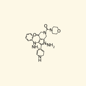 NN(c1ccccc1)c1c2c(n(N)c1C1=CCNC=C1)CN(C(=O)N1CCOCC1)CC2=O